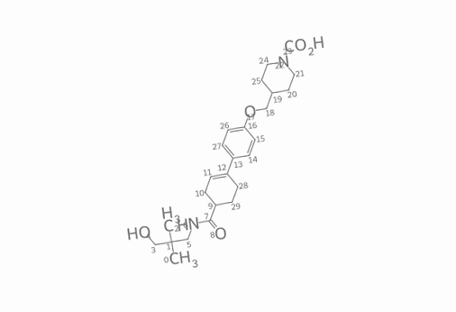 CC(C)(CO)CNC(=O)C1CC=C(c2ccc(OCC3CCN(C(=O)O)CC3)cc2)CC1